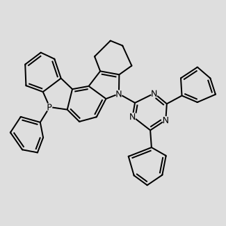 c1ccc(-c2nc(-c3ccccc3)nc(-n3c4c(c5c6c7ccccc7p(-c7ccccc7)c6ccc53)CCCC4)n2)cc1